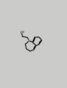 OCCN1CCCC=C2C=CCC=C21